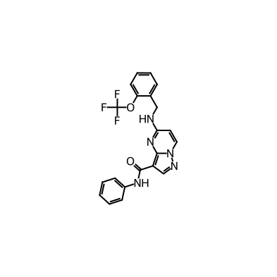 O=C(Nc1ccccc1)c1cnn2ccc(NCc3ccccc3OC(F)(F)F)nc12